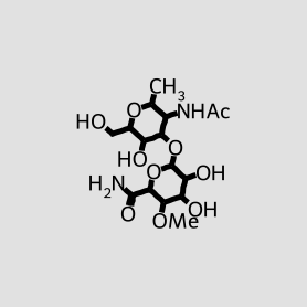 COC1C(C(N)=O)OC(OC2C(O)C(CO)OC(C)C2NC(C)=O)C(O)C1O